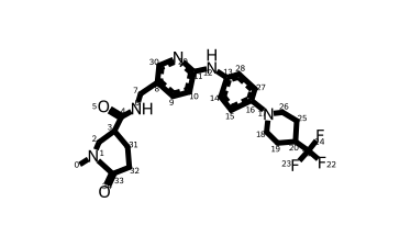 CN1CC(C(=O)NCc2ccc(Nc3ccc(N4CCC(C(F)(F)F)CC4)cc3)nc2)CCC1=O